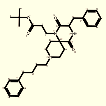 CC(C)(C)OC(=O)CCN1C(=O)C(Cc2ccccc2)NC(=O)C12CCN(CCCCc1ccccc1)CC2